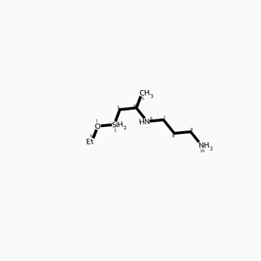 CCO[SiH2]CC(C)NCCCN